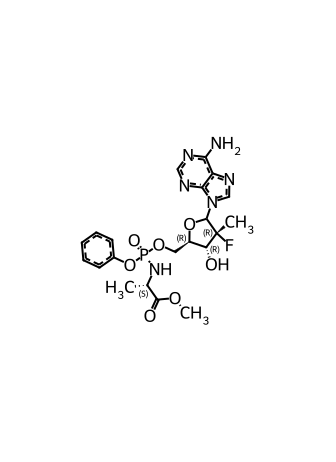 COC(=O)[C@H](C)NP(=O)(OC[C@H]1OC(n2cnc3c(N)ncnc32)[C@](C)(F)[C@@H]1O)Oc1ccccc1